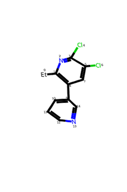 CCc1nc(Cl)c(Cl)cc1-c1cccnc1